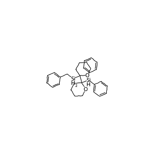 c1ccc(C[SiH2]C2(C3([SiH](c4ccccc4)c4ccccc4)CCCCO3)CCCCO2)cc1